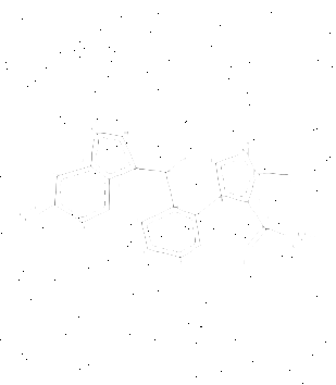 CCC(c1ccccc1-c1cnn(C)c1C(=O)OC)c1c[nH]c2cc(C#N)ccc12